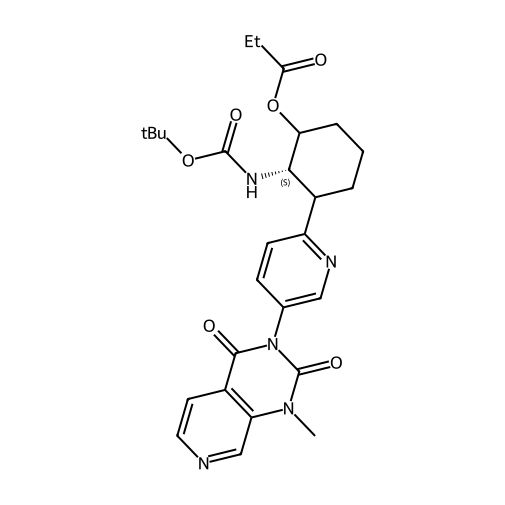 CCC(=O)OC1CCCC(c2ccc(-n3c(=O)c4ccncc4n(C)c3=O)cn2)[C@@H]1NC(=O)OC(C)(C)C